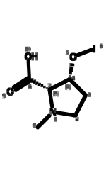 CN1CC[C@@H](OI)[C@H]1C(=O)O